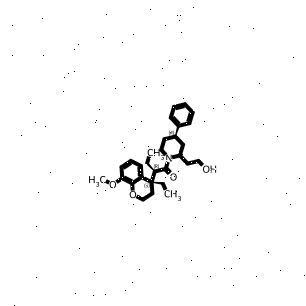 CC[C@@H](C(=O)N1CC[C@@H](c2ccccc2)CC1CCO)[C@]1(CC)CCOc2c(OC)cccc21